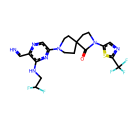 N=Cc1ncc(N2CCC3(CC2)CCN(c2cnc(C(F)(F)F)s2)C3=O)nc1NCC(F)F